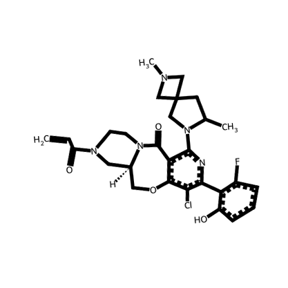 C=CC(=O)N1CCN2C(=O)c3c(N4CC5(CC4C)CN(C)C5)nc(-c4c(O)cccc4F)c(Cl)c3OC[C@H]2C1